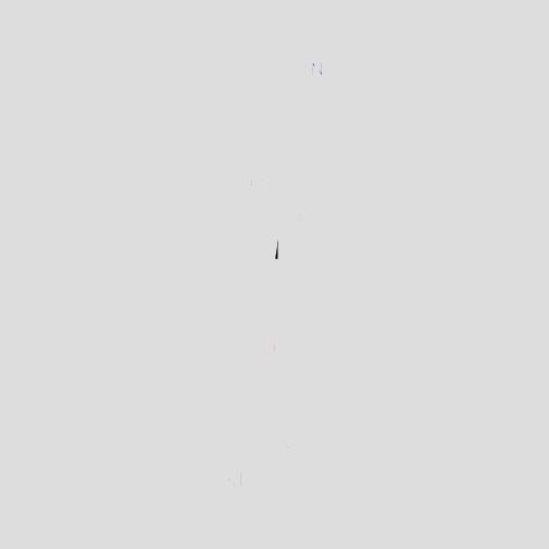 N#Cc1ccc2c(c1)OC[C@H](c1ccc(OCc3ccc(Cl)c(Cl)c3)cc1)O2